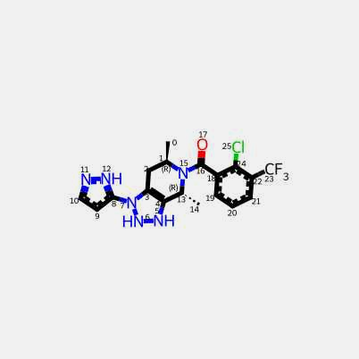 C[C@@H]1CC2=C(NNN2c2ccn[nH]2)[C@@H](C)N1C(=O)c1cccc(C(F)(F)F)c1Cl